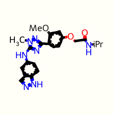 COc1cc(OCC(=O)NC(C)C)ccc1-c1nc(Nc2ccc3[nH]ncc3c2)n(C)n1